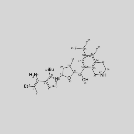 CC/C(C)=C(\N)c1ccn(C2CC(C)C(C(O)c3cc(C(F)F)c(F)c4c3CNCC4)O2)c1C(C)CC